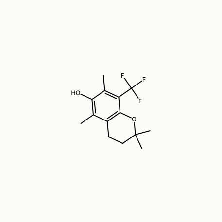 Cc1c(O)c(C)c(C(F)(F)F)c2c1CCC(C)(C)O2